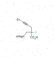 CCC#CCC(F)(CCCCCCCC)C(=O)O